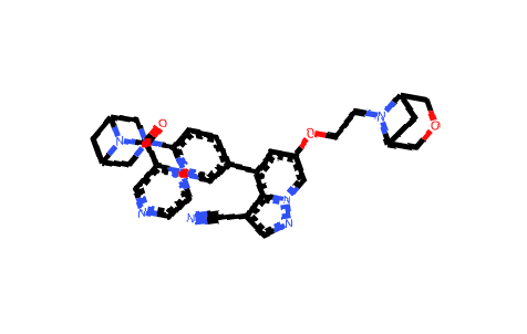 N#Cc1cnn2cc(OCCN3C4COCC3C4)cc(-c3ccc(N4CC5CC(C4)N5C(=O)c4cnccn4)nc3)c12